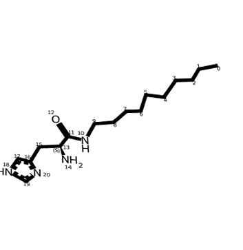 CCCCCCCCCCNC(=O)[C@@H](N)Cc1c[nH]cn1